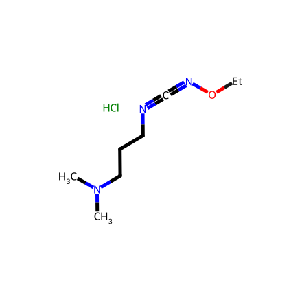 CCON=C=NCCCN(C)C.Cl